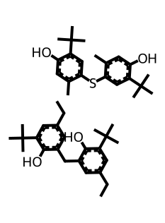 CCc1cc(Cc2cc(CC)cc(C(C)(C)C)c2O)c(O)c(C(C)(C)C)c1.Cc1cc(O)c(C(C)(C)C)cc1Sc1cc(C(C)(C)C)c(O)cc1C